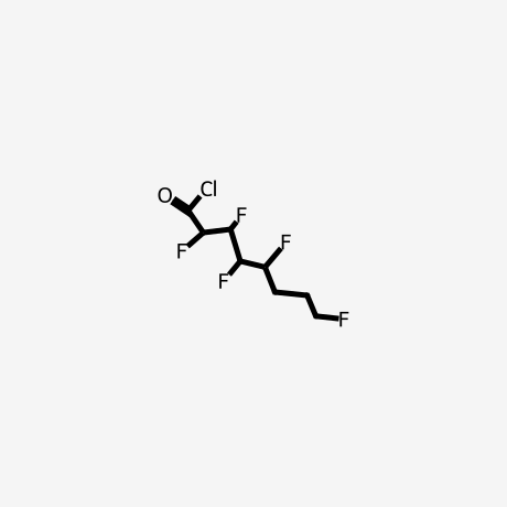 O=C(Cl)C(F)C(F)C(F)C(F)CCCF